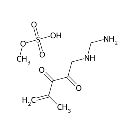 C=C(C)C(=O)C(=O)CNCN.COS(=O)(=O)O